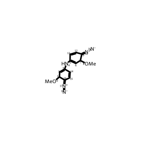 COC1C=C(NC2=CC(OC)C(=[N+]=[N-])C=C2)C=CC1=[N+]=[N-]